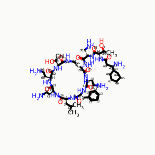 CC(C)C[C@@H]1NC(=O)[C@@H](Cc2ccccc2)NC(=O)[C@H](CCN)NC(=O)[C@@H](NC(=O)[C@H](CN)NC(=O)[C@@H](NC(=O)CC(N)C2CCCCC2)C(C)O)CCNC(=O)[C@H](C(C)O)NC(=O)[C@H](CCN)NC(=O)[C@H](CCN)NC1=O